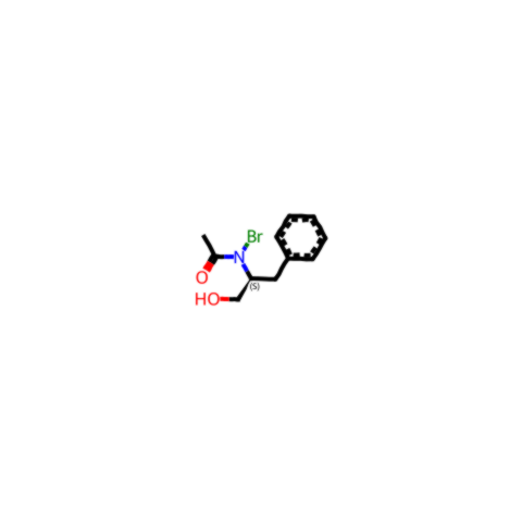 CC(=O)N(Br)[C@H](CO)Cc1ccccc1